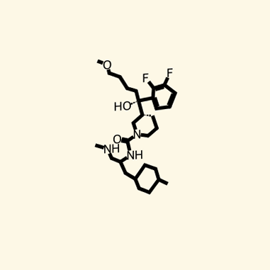 CNCC(CC1CCC(C)CC1)NC(=O)N1CCC[C@@H]([C@@](O)(CCCCOC)c2cccc(F)c2F)C1